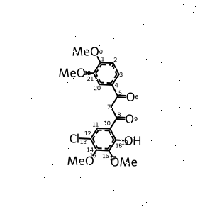 COc1ccc(C(=O)CC(=O)c2cc(Cl)c(OC)c(OC)c2O)cc1OC